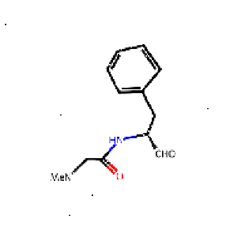 CNCC(=O)N[C@H](C=O)Cc1ccccc1